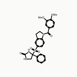 COc1ccc(C(=O)N2CCc3cc(S(=O)(=O)C4(c5ccccc5)CNC(=O)N4)ccc32)cc1OC